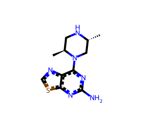 C[C@@H]1CN(c2nc(N)nc3scnc23)[C@@H](C)CN1